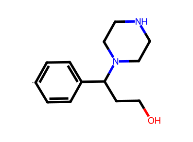 OCCC(c1cc[c]cc1)N1CCNCC1